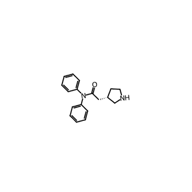 O=C(C[C@@H]1CCNC1)N(c1ccccc1)c1ccccc1